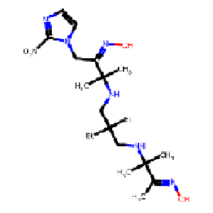 CCC(CC)(CNC(C)(C)C(C)=NO)CNC(C)(C)C(Cn1ccnc1[N+](=O)[O-])=NO